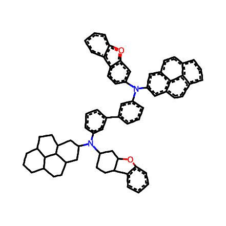 c1cc(-c2cccc(N(C3CC4CCC5CCCC6CCC(C3)C4C56)C3CCC4c5ccccc5OC4C3)c2)cc(N(c2cc3ccc4cccc5ccc(c2)c3c45)c2ccc3c(c2)oc2ccccc23)c1